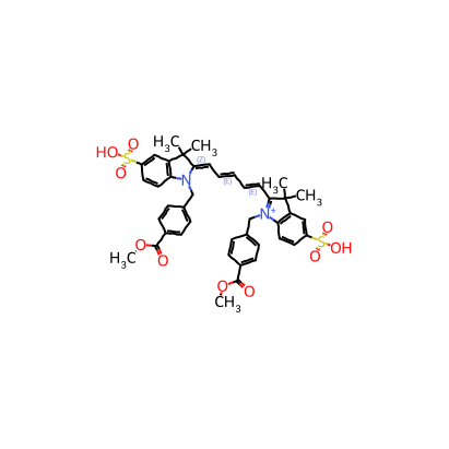 COC(=O)c1ccc(CN2\C(=C/C=C/C=C/C3=[N+](Cc4ccc(C(=O)OC)cc4)c4ccc(S(=O)(=O)O)cc4C3(C)C)C(C)(C)c3cc(S(=O)(=O)O)ccc32)cc1